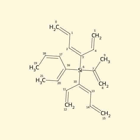 C=C/C=C(\C=C)[Si](C(=C)C)(/C(C=C)=C/C=C)C(/C=C\C)=C/C